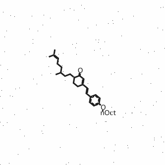 CCCCCCCCOc1ccc(/C=C/C2=CC(=O)C(CCC(C)CCC=C(C)C)CC2)cc1